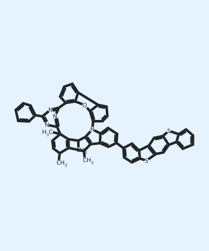 CC1C=CC2(C)C3=C1C(C)c1c(n(c4ccc(-c5ccc6sc7cc8c(cc7c6c5)sc5ccccc58)cc14)-c1cccc4c1oc1c(cccc14)-c1nc(-c4ccccc4)nc2n1)C3C